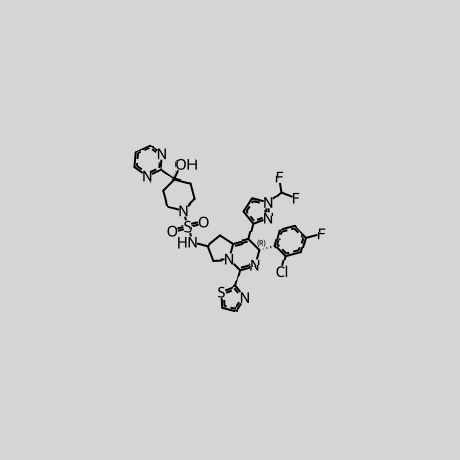 O=S(=O)(NC1CC2=C(c3ccn(C(F)F)n3)[C@H](c3ccc(F)cc3Cl)N=C(c3nccs3)N2C1)N1CCC(O)(c2ncccn2)CC1